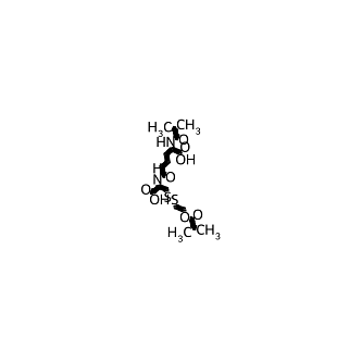 CC(C)C(=O)NC(CCCC(=O)NC(CSSCCOC(=O)C(C)C)C(=O)O)C(=O)O